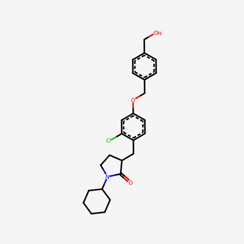 O=C1C(Cc2ccc(OCc3ccc(CO)cc3)cc2Cl)CCN1C1CCCCC1